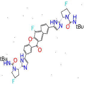 CC(C)(C)NC(=O)N1C[C@@H](F)C[C@H]1c1ncc(-c2ccc3c(F)c4oc5ccc(-c6cnc([C@@H]7C[C@H](F)CN7C(=O)NC(C)(C)C)[nH]6)cc5c(=O)c4cc3c2)[nH]1